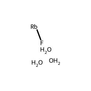 O.O.O.[F][Rb]